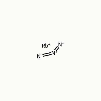 [N-]=[N+]=[N-].[Rb+]